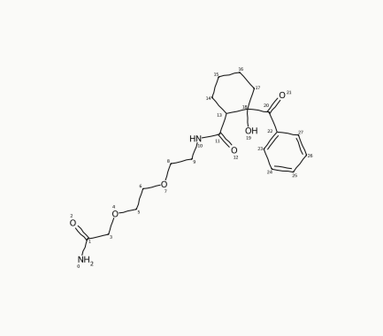 NC(=O)COCCOCCNC(=O)C1CCCCC1(O)C(=O)c1ccccc1